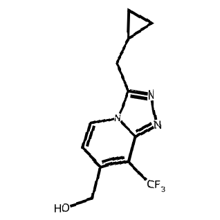 OCc1ccn2c(CC3CC3)nnc2c1C(F)(F)F